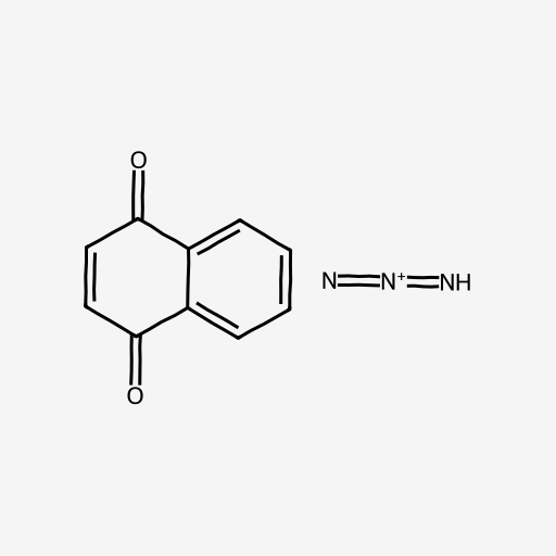 O=C1C=CC(=O)c2ccccc21.[N-]=[N+]=N